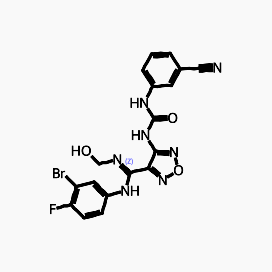 N#Cc1cccc(NC(=O)Nc2nonc2/C(=N/CO)Nc2ccc(F)c(Br)c2)c1